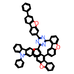 c1ccc(-c2ccc3c(c2)oc2cc(-c4nc(-c5ccccc5)nc(-c5cccc6oc7ccc(-c8cc(-c9ccc%10c%11ccccc%11n(-c%11ccccc%11)c%10c9)cc9oc%10ccccc%10c89)cc7c56)n4)ccc23)cc1